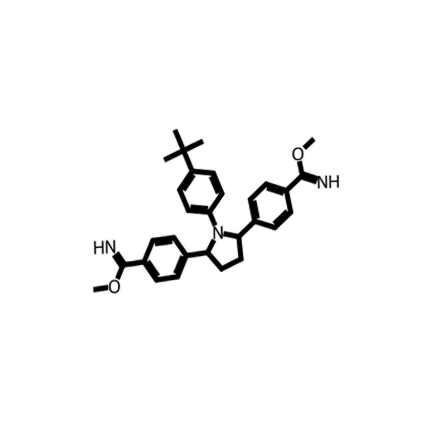 COC(=N)c1ccc(C2CCC(c3ccc(C(=N)OC)cc3)N2c2ccc(C(C)(C)C)cc2)cc1